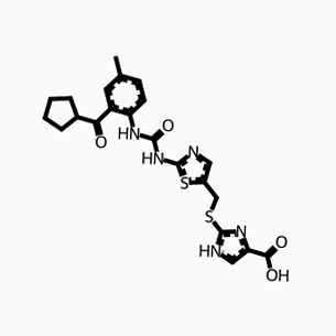 Cc1ccc(NC(=O)Nc2ncc(CSc3nc(C(=O)O)c[nH]3)s2)c(C(=O)C2CCCC2)c1